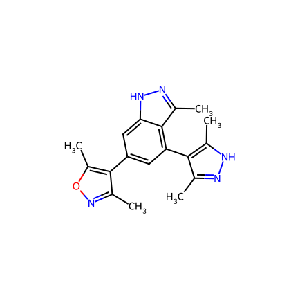 Cc1n[nH]c(C)c1-c1cc(-c2c(C)noc2C)cc2[nH]nc(C)c12